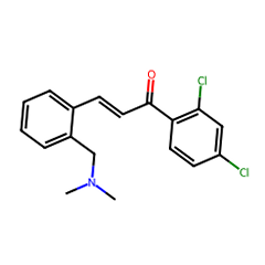 CN(C)Cc1ccccc1/C=C/C(=O)c1ccc(Cl)cc1Cl